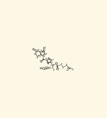 CC[C@H](OC(=O)CCCN(C)C)c1csc(C(=O)c2c[nH]c3cc(F)ccc23)n1.Cl.Cl